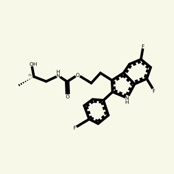 C[C@H](O)CNC(=O)OCCc1c(-c2ccc(F)cc2)[nH]c2c(F)cc(F)cc12